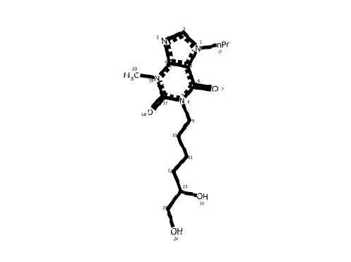 CCCn1cnc2c1c(=O)n(CCCCC(O)CO)c(=O)n2C